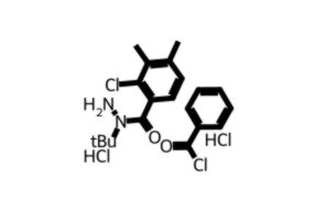 Cc1ccc(C(=O)N(N)C(C)(C)C)c(Cl)c1C.Cl.Cl.O=C(Cl)c1ccccc1